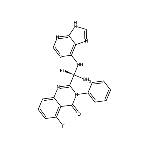 B[C@@](CC)(Nc1ncnc2[nH]cnc12)c1nc2cccc(F)c2c(=O)n1-c1ccccc1